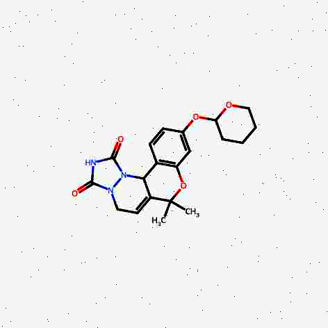 CC1(C)Oc2cc(OC3CCCCO3)ccc2C2C1=CCn1c(=O)[nH]c(=O)n12